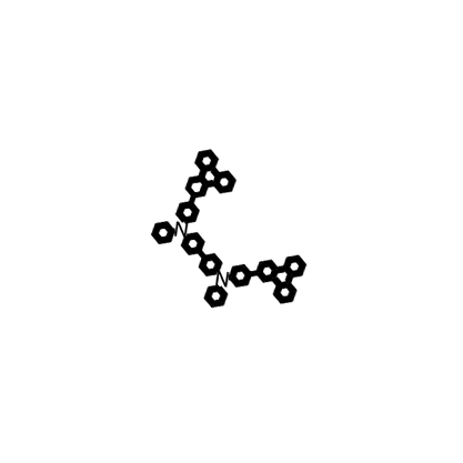 C1=c2c(c3ccccc3c3ccccc23)=CC(c2ccc(N(c3ccccc3)c3ccc(-c4ccc(N(c5ccccc5)c5ccc(-c6ccc7c8ccccc8c8ccccc8c7c6)cc5)cc4)cc3)cc2)C1